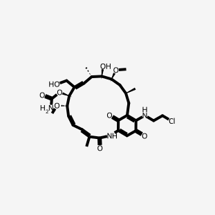 CO[C@H]1/C=C\C=C(/C)C(=O)NC2=CC(=O)C(NCCCl)=C(C[C@H](C)C[C@H](OC)[C@H](O)[C@@H](C)/C=C(\CO)[C@@H]1OC(N)=O)C2=O